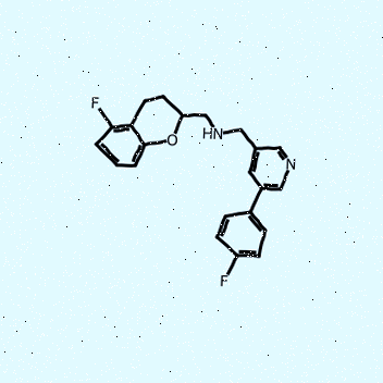 Fc1ccc(-c2cncc(CNCC3CCc4c(F)cccc4O3)c2)cc1